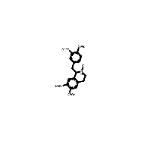 COc1ccc(CC2c3cc(OC)c(OC)cc3CC[NH+]2[O-])cc1OC